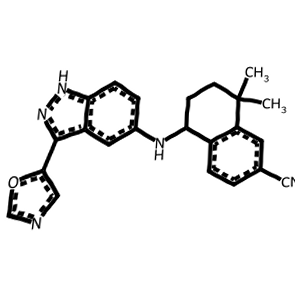 CC1(C)CCC(Nc2ccc3[nH]nc(-c4cnco4)c3c2)c2ccc(C#N)cc21